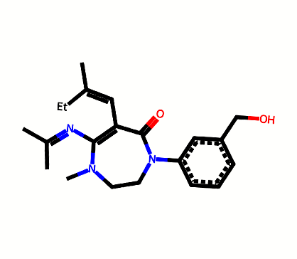 CC/C(C)=C\C1=C(N=C(C)C)N(C)CCN(c2cccc(CO)c2)C1=O